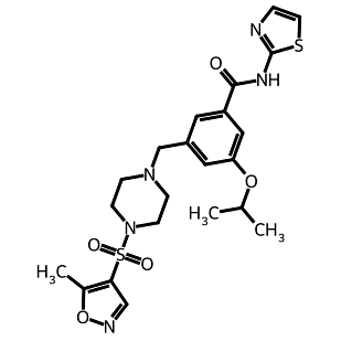 Cc1oncc1S(=O)(=O)N1CCN(Cc2cc(OC(C)C)cc(C(=O)Nc3nccs3)c2)CC1